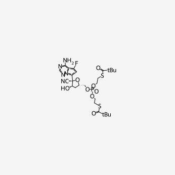 CC(C)(C)C(=O)SCCOP(=O)(OCCSC(=O)C(C)(C)C)OC[C@@H]1C[C@@H](O)[C@](C#N)(c2cc(F)c3c(N)ncnn23)O1